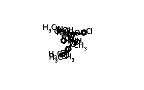 CCc1nc(C(O)[C@H](CC2CCCCC2)NC(=O)[C@@H]2C[C@@H](OCc3ccc(Cl)cc3)CN2C(=O)[C@@H](CCC2CCN(C(=O)OC(C)(C)C)CC2)NS(C)(=O)=O)no1